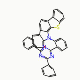 c1ccc(-c2nc(-c3ccccc3)nc(-c3ccccc3-n3c4ccccc4c4ccc5c6ccccc6sc5c43)n2)cc1